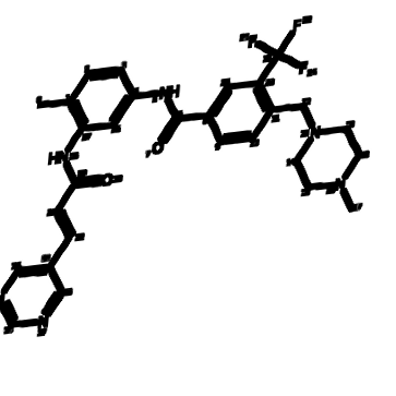 Cc1ccc(NC(=O)c2ccc(CN3CCN(C)CC3)c(C(F)(F)F)c2)cc1NC(=O)C=Cc1cncnc1